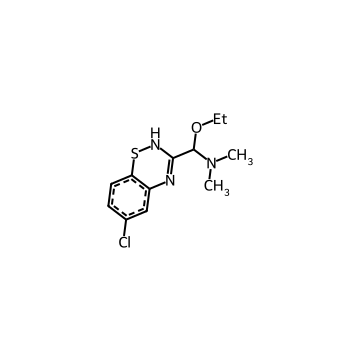 CCOC(C1=Nc2cc(Cl)ccc2SN1)N(C)C